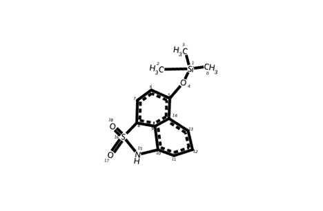 C[Si](C)(C)Oc1ccc2c3c(cccc13)NS2(=O)=O